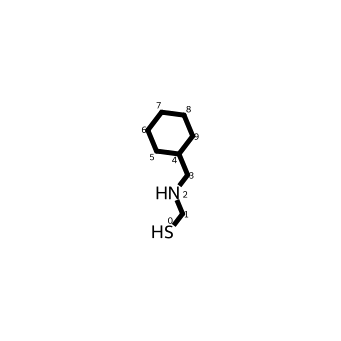 SCNCC1CCCCC1